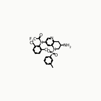 Cc1cccc(S(=O)(=O)N2CC(N)Cc3ncc(N(C(=O)C(F)(F)F)c4c(Cl)cccc4Cl)cc32)c1